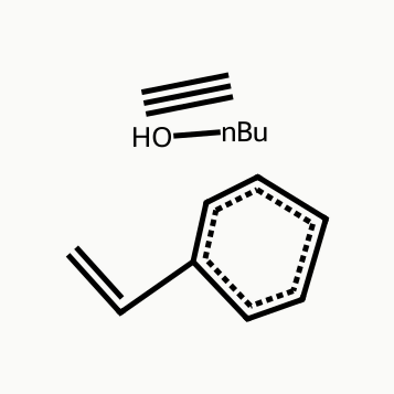 C#C.C=Cc1ccccc1.CCCCO